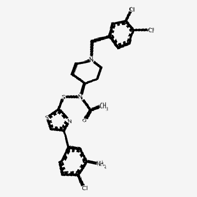 CC(=O)N(Sc1nc(-c2ccc(Cl)c(N)c2)cs1)C1CCN(Cc2ccc(Cl)c(Cl)c2)CC1